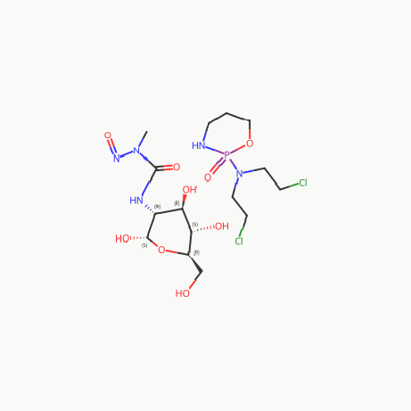 CN(N=O)C(=O)N[C@@H]1[C@@H](O)[C@H](O)[C@@H](CO)O[C@@H]1O.O=P1(N(CCCl)CCCl)NCCCO1